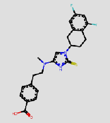 CN(CCc1ccc(C(=O)O)cc1)c1cn(C2CCc3c(F)cc(F)cc3C2)c(=S)[nH]1